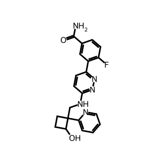 NC(=O)c1ccc(F)c(-c2ccc(NCC3(c4ccccn4)CCC3O)nn2)c1